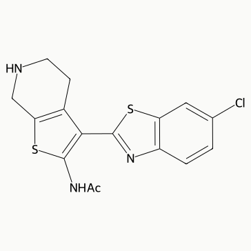 CC(=O)Nc1sc2c(c1-c1nc3ccc(Cl)cc3s1)CCNC2